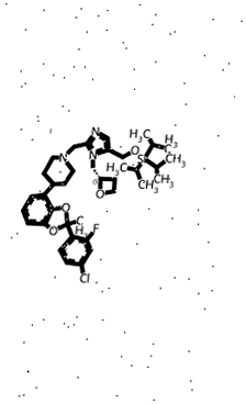 CC(C)[Si](OCc1cnc(CN2CCC(c3cccc4c3OC(C)(c3ccc(Cl)cc3F)O4)CC2)n1C[C@@H]1CCO1)(C(C)C)C(C)C